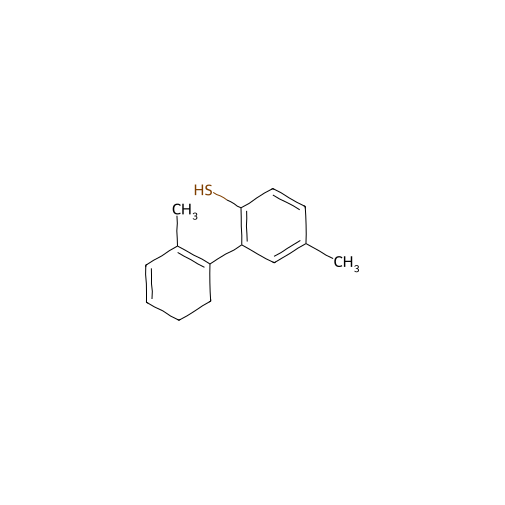 CC1=C(c2cc(C)ccc2S)CCC=C1